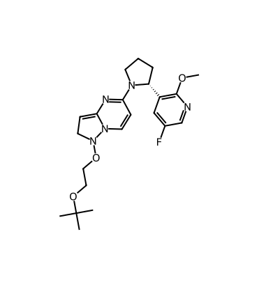 COc1ncc(F)cc1[C@H]1CCCN1C1=NC2=CCN(OCCOC(C)(C)C)N2C=C1